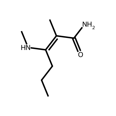 CCCC(NC)=C(C)C(N)=O